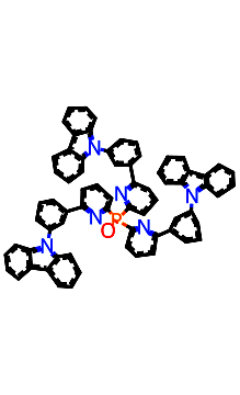 O=P(c1cccc(-c2cccc(-n3c4ccccc4c4ccccc43)c2)n1)(c1cccc(-c2cccc(-n3c4ccccc4c4ccccc43)c2)n1)c1cccc(-c2cccc(-n3c4ccccc4c4ccccc43)c2)n1